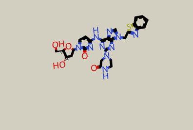 O=C1CN(c2nc(Nc3ccn(C4C[C@H](O)[C@@H](CO)O4)c(=O)n3)c3ncn(Cc4nc5ccccc5s4)c3n2)CCN1